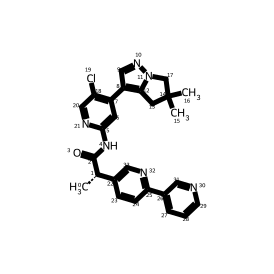 C[C@H](C(=O)Nc1cc(-c2cnn3c2CC(C)(C)C3)c(Cl)cn1)c1ccc(-c2cccnc2)nc1